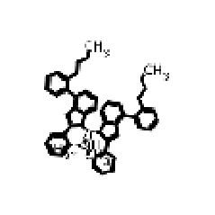 CCCCc1ccccc1-c1cccc2c1C=C(c1ccccc1)[CH]2[Zr]([CH]1C(c2ccccc2)=Cc2c(-c3ccccc3CCCC)cccc21)[SiH](C)C